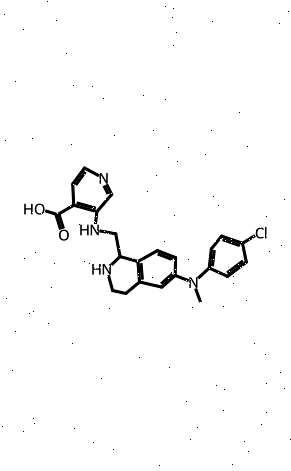 CN(c1ccc(Cl)cc1)c1ccc2c(c1)CCNC2CNc1cnccc1C(=O)O